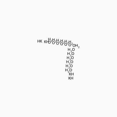 O.O.O.O.O.O.O.O.O.O.O.O.O.[KH].[KH].[KH].[KH]